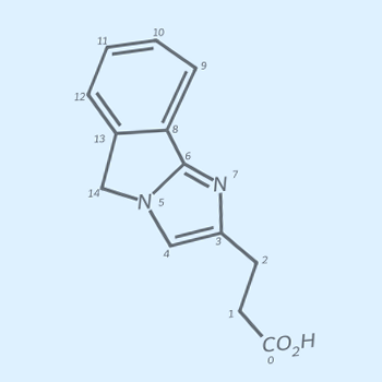 O=C(O)CCc1cn2c(n1)-c1ccccc1C2